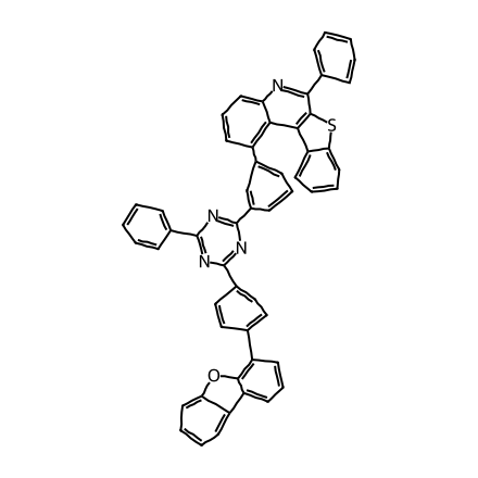 c1ccc(-c2nc(-c3ccc(-c4cccc5c4oc4ccccc45)cc3)nc(-c3cccc(-c4cccc5nc(-c6ccccc6)c6sc7ccccc7c6c45)c3)n2)cc1